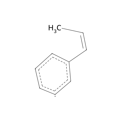 C/C=C\c1c[c]ccc1